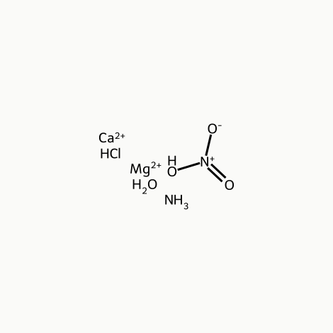 Cl.N.O.O=[N+]([O-])O.[Ca+2].[Mg+2]